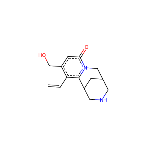 C=Cc1c(CO)cc(=O)n2c1C1CNCC(C1)C2